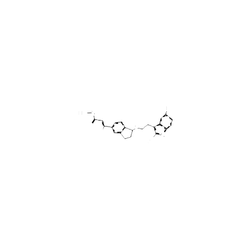 C/C(=C\C(=O)NO)c1ccc2c(c1)CCC2NCCc1c(C)[nH]c2ccc(F)cc12